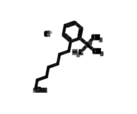 CCCCCCCCCCCCCCCCc1ccccc1[N+](C)(C)C.[Cl-]